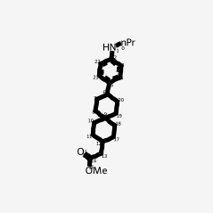 CCCNc1ccc(C2CCC3(CCC(CC(=O)OC)CC3)CC2)cc1